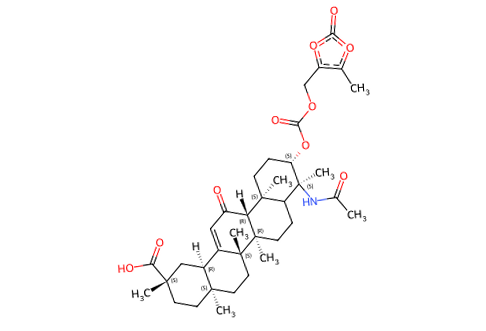 CC(=O)N[C@@]1(C)C2CC[C@]3(C)[C@H](C(=O)C=C4[C@@H]5C[C@@](C)(C(=O)O)CC[C@]5(C)CC[C@]43C)[C@@]2(C)CC[C@@H]1OC(=O)OCc1oc(=O)oc1C